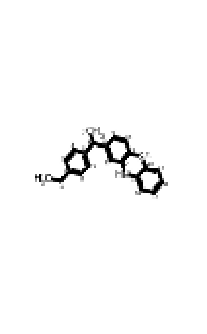 CCc1ccc(C(C)c2ccc3c(c2)Nc2ccccc2S3)cc1